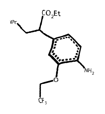 CCOC(=O)C(CC(C)C)c1ccc(N)c(OCC(F)(F)F)c1